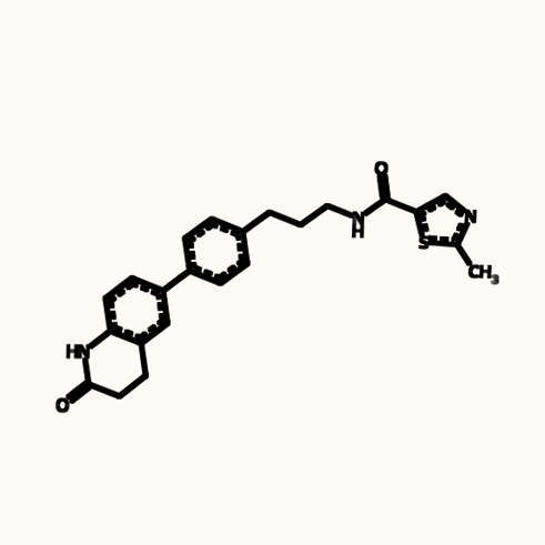 Cc1ncc(C(=O)NCCCc2ccc(-c3ccc4c(c3)CCC(=O)N4)cc2)s1